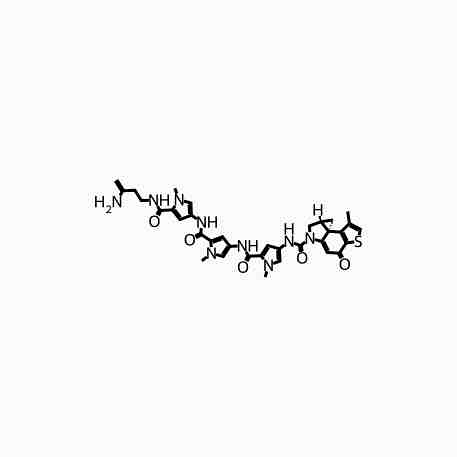 C=C(N)CCNC(=O)c1cc(NC(=O)c2cc(NC(=O)c3cc(NC(=O)N4C[C@@H]5C[C@]56C4=CC(=O)c4scc(C)c46)cn3C)cn2C)cn1C